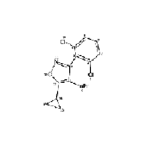 CCCc1c(-c2c(Cl)cccc2Cl)noc1C1CC1